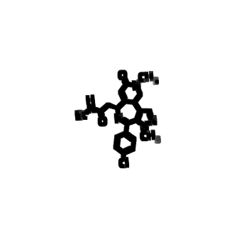 CCNC(=O)C[C@@H]1N=C(c2ccc(Cl)cc2)c2c(cnn2C)C2CN(C)C(=O)C=C21